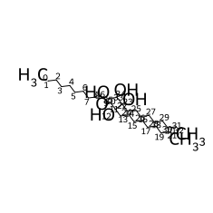 CCCCCCCCCOCC(O)(CCCCCCCCC)C(O)(CCCCCCCCC)C(O)CO